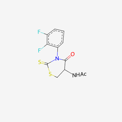 CC(=O)NC1CSC(=S)N(c2cccc(F)c2F)C1=O